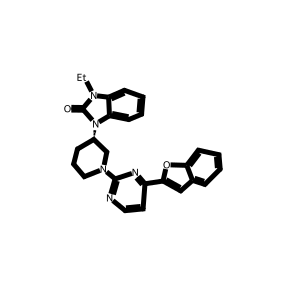 CCn1c(=O)n([C@H]2CCCN(c3nccc(-c4cc5ccccc5o4)n3)C2)c2ccccc21